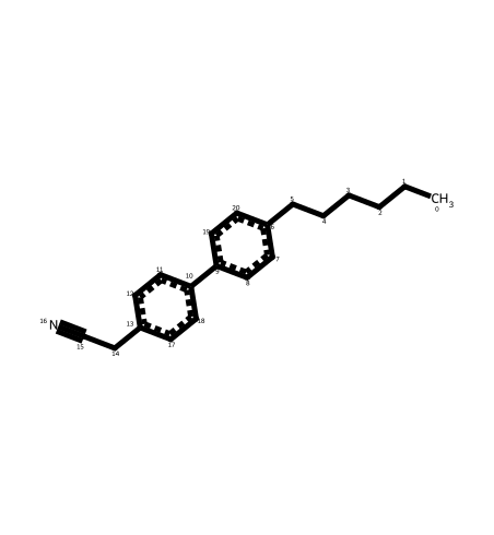 CCCCCCc1ccc(-c2ccc(CC#N)cc2)cc1